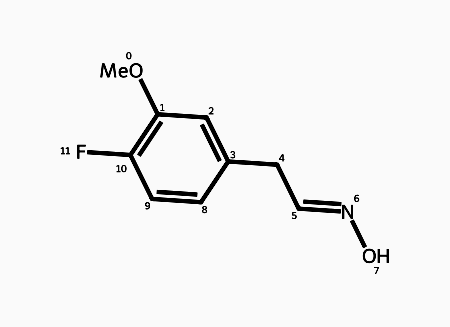 COc1cc(CC=NO)ccc1F